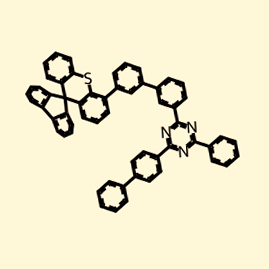 c1ccc(-c2ccc(-c3nc(-c4ccccc4)nc(-c4cccc(-c5cccc(-c6cccc7c6Sc6ccccc6C76c7ccccc7-c7ccccc76)c5)c4)n3)cc2)cc1